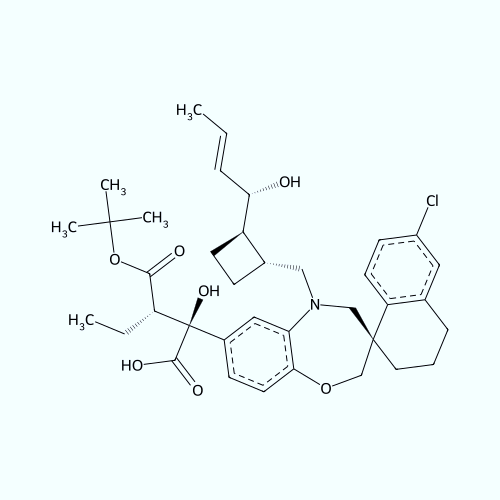 C/C=C/[C@H](O)[C@@H]1CC[C@H]1CN1C[C@@]2(CCCc3cc(Cl)ccc32)COc2ccc([C@](O)(C(=O)O)[C@H](CC)C(=O)OC(C)(C)C)cc21